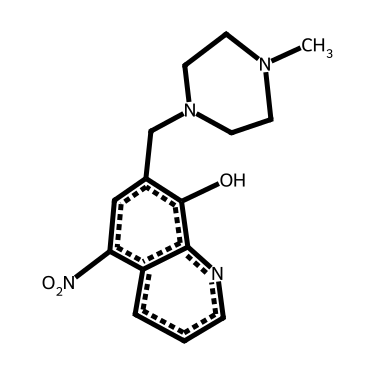 CN1CCN(Cc2cc([N+](=O)[O-])c3cccnc3c2O)CC1